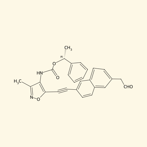 Cc1noc(C#Cc2ccc3cc(CC=O)ccc3c2)c1NC(=O)O[C@H](C)c1ccccc1